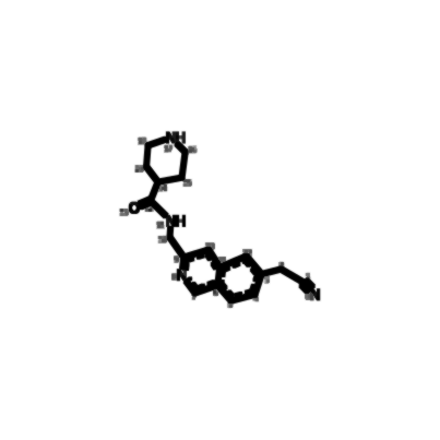 N#CCc1ccc2cnc(CNC(=O)C3CCNCC3)cc2c1